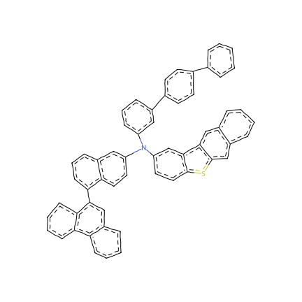 c1ccc(-c2ccc(-c3cccc(N(c4ccc5c(-c6cc7ccccc7c7ccccc67)cccc5c4)c4ccc5sc6cc7ccccc7cc6c5c4)c3)cc2)cc1